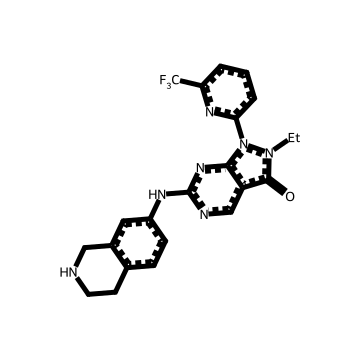 CCn1c(=O)c2cnc(Nc3ccc4c(c3)CNCC4)nc2n1-c1cccc(C(F)(F)F)n1